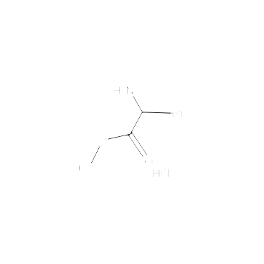 CC(C)OC(=O)C(N)C(C)C.Cl